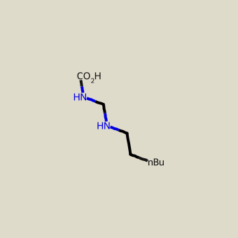 CCCCCCNCNC(=O)O